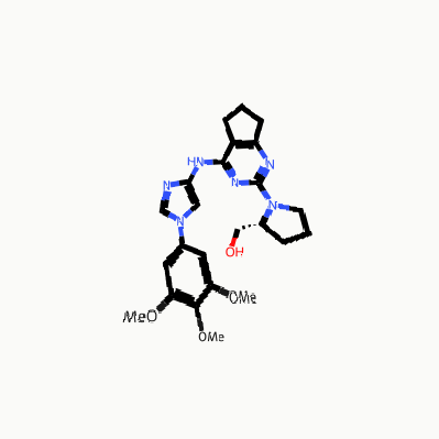 COc1cc(-n2cnc(Nc3nc(N4CCC[C@@H]4CO)nc4c3CCC4)c2)cc(OC)c1OC